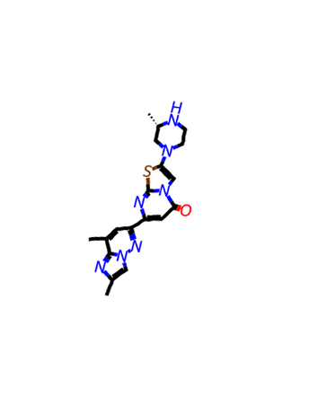 Cc1cn2nc(-c3cc(=O)n4cc(N5CCN[C@@H](C)C5)sc4n3)cc(C)c2n1